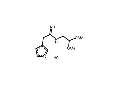 COC(CNC(=N)Cc1ccsc1)OC.Cl